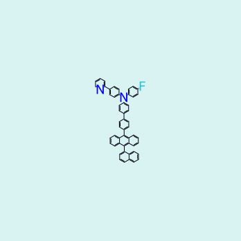 Fc1ccc(N(c2ccc(-c3ccc(-c4c5ccccc5c(-c5cccc6ccccc56)c5ccccc45)cc3)cc2)c2ccc(-c3ccccn3)cc2)cc1